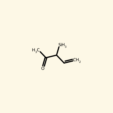 C=CC([SiH3])C(C)=O